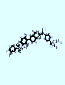 CN(C)C1CCC(Nc2ncc3cc(-c4c(F)ccc(NS(=O)(=O)c5cncc(F)c5)c4F)ccc3n2)CC1